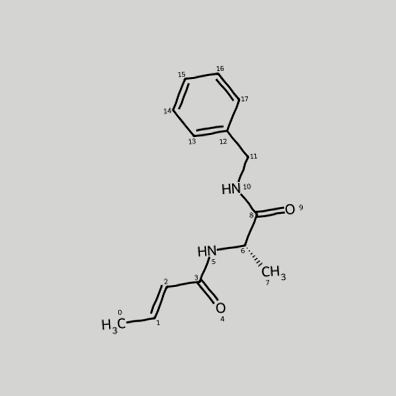 CC=CC(=O)N[C@@H](C)C(=O)NCc1ccccc1